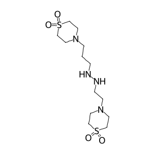 O=S1(=O)CCN(CCCNNCCN2CCS(=O)(=O)CC2)CC1